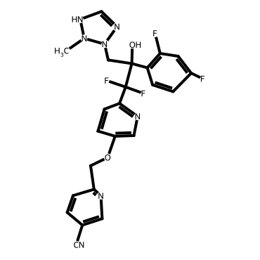 CN1NC=NN1CC(O)(c1ccc(F)cc1F)C(F)(F)c1ccc(OCc2ccc(C#N)cn2)cn1